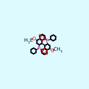 COc1cc(P(c2ccccc2)c2ccccc2)c(-c2c(P(c3ccccc3)c3ccccc3)cc(OC)c3c2OCO3)c2c1OCO2